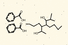 CCCCC(C(C)O)C(CCCC)C(O)C(C)C.O=C(O)c1ccccc1.O=C(O)c1ccccc1